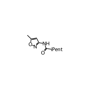 CCCC(C)C(=O)Nc1cc(C)on1